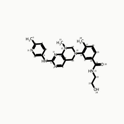 Cc1ccc(Nc2ncc3c(n2)N(C)CN(c2cc(C(=O)NCCO)ccc2C)C3)cn1